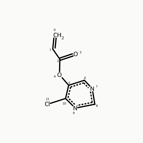 C=CC(=O)Oc1cncnc1Cl